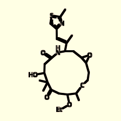 CCOC1CC(=O)C(C)(C)C(O)CC(=O)NC(C(C)=Cc2csc(C)n2)CC2OC2CCCC1C